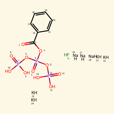 F.O=C(OP(=O)(OP(=O)(O)O)OP(=O)(O)O)c1ccccc1.[KH].[KH].[KH].[KH].[NaH].[NaH].[NaH]